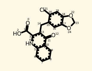 O=C(O)c1[nH]c2ccccc2c(=O)c1Cc1cc2c(cc1Cl)OCO2